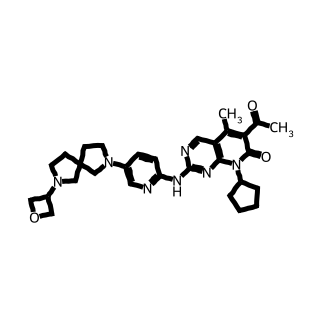 CC(=O)c1c(C)c2cnc(Nc3ccc(N4CCC5(CCN(C6COC6)C5)C4)cn3)nc2n(C2CCCC2)c1=O